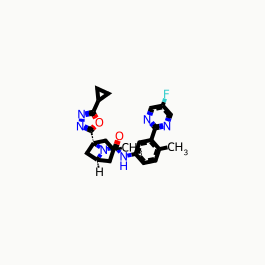 Cc1ccc(NC(=O)N2[C@H]3C[C@H](C)C[C@]2(c2nnc(C4CC4)o2)C3)cc1-c1ncc(F)cn1